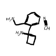 C#N.NCc1ccccc1C1(N)CCC1